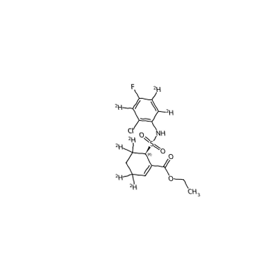 [2H]c1c([2H])c(NS(=O)(=O)[C@H]2C(C(=O)OCC)=CC([2H])([2H])CC2([2H])[2H])c(Cl)c([2H])c1F